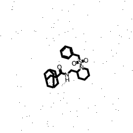 O=C(NCC1CCCCN1S(=O)(=O)Cc1ccccc1)C12CC3CC(CC(C3)C1)C2